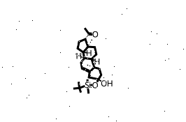 CC(=O)[C@H]1CC[C@H]2[C@@H]3CC=C4C[C@@](O)(O[Si](C)(C)C(C)(C)C)CC[C@]4(C)[C@H]3CC[C@]12C